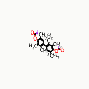 Cc1cc(-c2cc(C)c(OC(=O)I)c(C)c2C)c(C)c(C)c1OC(=O)I